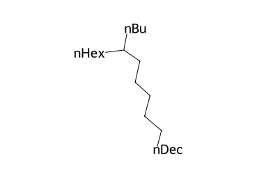 [CH2]CCCC(CCCCCC)CCCCCCCCCCCCCCC